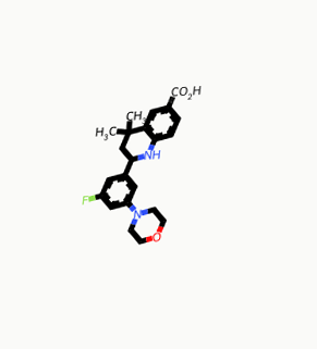 CC1(C)CC(c2cc(F)cc(N3CCOCC3)c2)Nc2ccc(C(=O)O)cc21